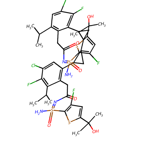 CC(C)c1cc(Cl)c(F)c(C2CC2C2CC2c2cc(Cl)c(F)c(C(C)C)c2CC(=O)N=S(N)(=O)c2sc(C(C)(C)O)cc2F)c1CC(=O)N=S(N)(=O)c1sc(C(C)(C)O)cc1F